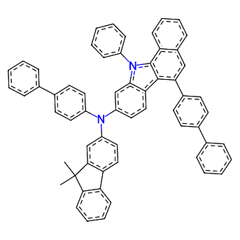 CC1(C)c2ccccc2-c2ccc(N(c3ccc(-c4ccccc4)cc3)c3ccc4c5c(-c6ccc(-c7ccccc7)cc6)cc6ccccc6c5n(-c5ccccc5)c4c3)cc21